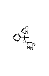 CC(OC1=C[N]N=N1)(c1ccccc1)c1ccon1